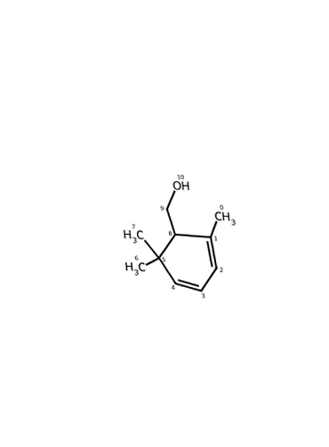 CC1=CC=CC(C)(C)C1CO